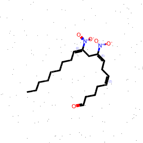 CCCCCCCC/C=C(\C/C(=C\C/C=C\CCC[C]=O)[N+](=O)[O-])[N+](=O)[O-]